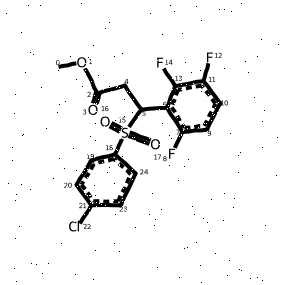 COC(=O)CC(c1c(F)ccc(F)c1F)S(=O)(=O)c1ccc(Cl)cc1